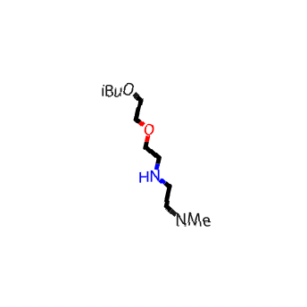 CNCCNCCOCCOCC(C)C